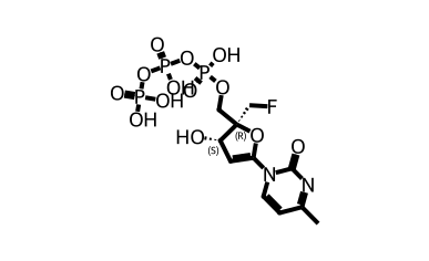 Cc1ccn(C2=C[C@H](O)[C@@](CF)(COP(=O)(O)OP(=O)(O)OP(=O)(O)O)O2)c(=O)n1